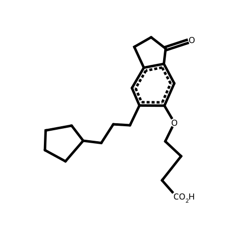 O=C(O)CCCOc1cc2c(cc1CCCC1CCCC1)CCC2=O